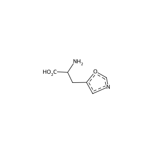 NC(Cc1cnco1)C(=O)O